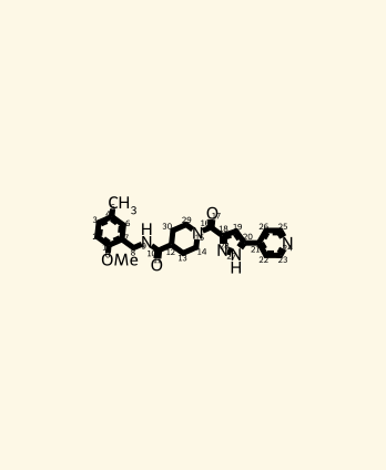 COc1ccc(C)cc1CNC(=O)C1CCN(C(=O)c2cc(-c3ccncc3)[nH]n2)CC1